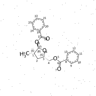 C[C@H]1C[C@@H](COC(=O)c2ccccc2)O[C@@H]1OC(=O)c1ccccc1